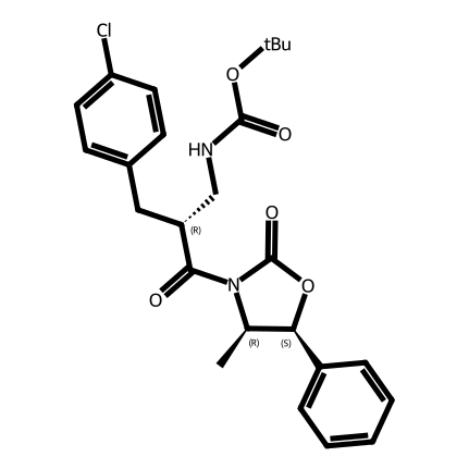 C[C@@H]1[C@H](c2ccccc2)OC(=O)N1C(=O)[C@@H](CNC(=O)OC(C)(C)C)Cc1ccc(Cl)cc1